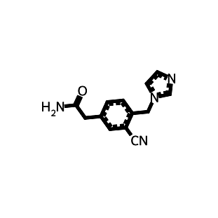 N#Cc1cc(CC(N)=O)ccc1Cn1ccnc1